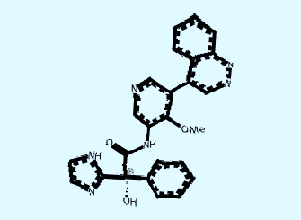 COc1c(NC(=O)[C@@](O)(c2ccccc2)c2ncc[nH]2)cncc1-c1cnnc2ccccc12